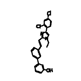 CCn1cc(-c2ccc(Cl)cc2Cl)nc1/C=C/c1cccc(-c2cccc(O)c2)c1